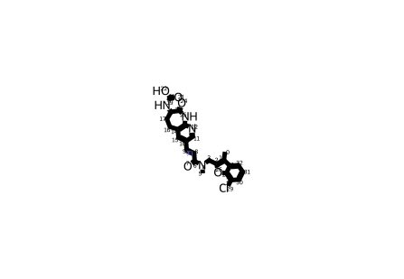 Cc1c(CN(C)C(=O)/C=C/c2cnc3c(c2)CCC(NC(=O)O)C(=O)N3)oc2c(Cl)cccc12